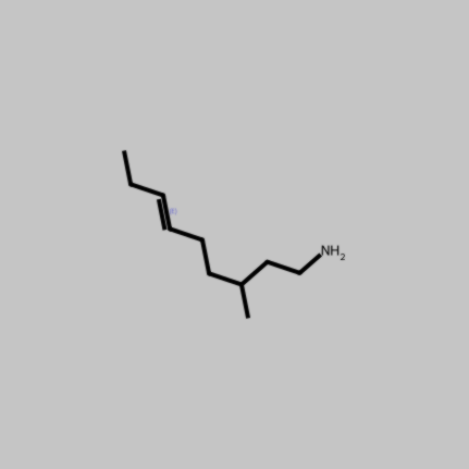 CC/C=C/CCC(C)CCN